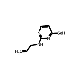 C=CCNc1nccc([SeH])n1